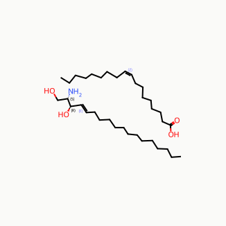 CCCCCCCC/C=C\CCCCCCCC(=O)O.CCCCCCCCCCCCC/C=C/[C@@H](O)[C@@H](N)CO